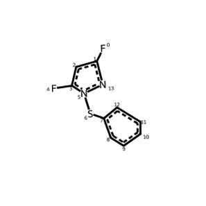 Fc1cc(F)n(Sc2ccccc2)n1